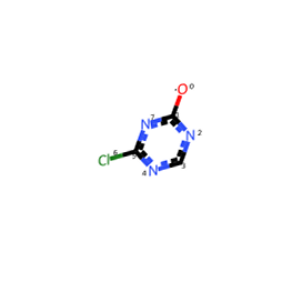 [O]c1ncnc(Cl)n1